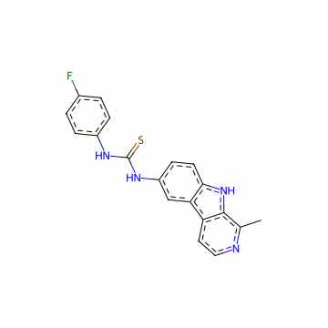 Cc1nccc2c1[nH]c1ccc(NC(=S)Nc3ccc(F)cc3)cc12